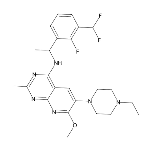 CCN1CCN(c2cc3c(N[C@H](C)c4cccc(C(F)F)c4F)nc(C)nc3nc2OC)CC1